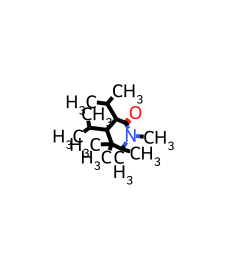 CC(C)C1C(=O)N(C)C(C)(C)C(C)(C)C1C(C)C